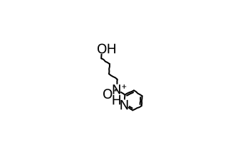 [O-][NH+](CCCCO)c1ccccn1